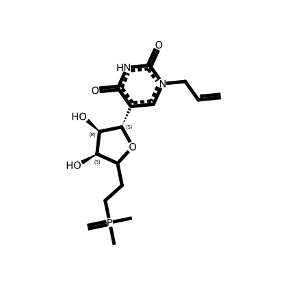 C=CCn1cc([C@@H]2OC(CCP(=C)(C)C)[C@@H](O)[C@H]2O)c(=O)[nH]c1=O